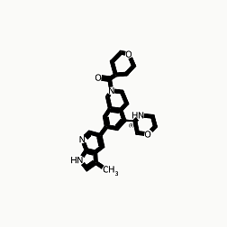 Cc1c[nH]c2ncc(-c3cc4c(c([C@@H]5COCCN5)c3)CCN(C(=O)C3CCOCC3)C4)cc12